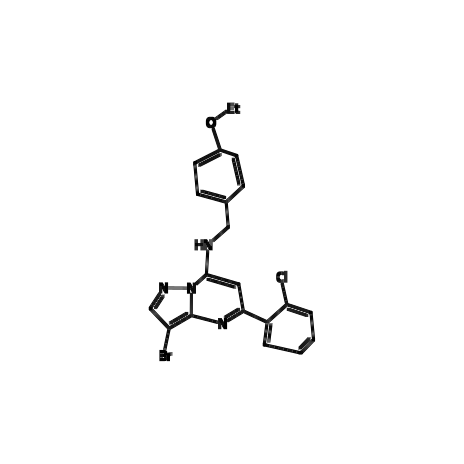 CCOc1ccc(CNc2cc(-c3ccccc3Cl)nc3c(Br)cnn23)cc1